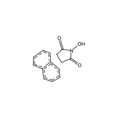 O=C1CCC(=O)N1O.c1ccc2ccccc2c1